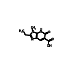 CCc1nc2cc(C(=O)O)c(=O)[nH]c2n1C